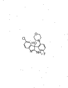 NC1=Nc2ccc(Cl)cc2C1(O)c1cc(F)ccc1N1CCOCC1